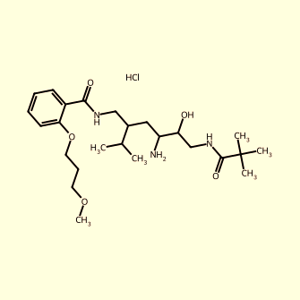 COCCCOc1ccccc1C(=O)NCC(CC(N)C(O)CNC(=O)C(C)(C)C)C(C)C.Cl